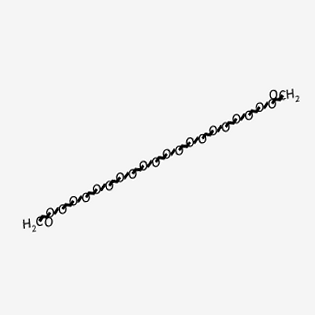 C=CC(=O)OCCOCCOCCOCCOCCOCCOCCOCCOCCOCCOCCOCCOCCOCCOCCOCCOCCOCCOCCOC(=O)C=C